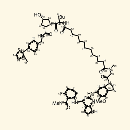 CNC(=O)c1c(F)cccc1Nc1nc(Nc2cc3c(cc2OC)CCN3C(=O)CN(C)C(=O)CCCCCCCCCCCC(=O)NC(C(=O)N2C[C@H](O)C[C@H]2C(=O)NCc2ccc(-c3scnc3C)cc2)C(C)(C)C)nc2[nH]ccc12